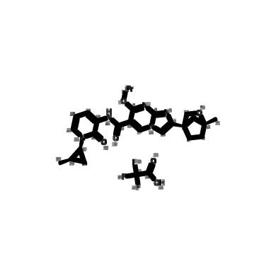 CC(C)Oc1nc2nc([C@]34CC[C@](C)(C3)OC4)cn2cc1C(=O)Nc1cccn([C@H]2C[C@H]2C)c1=O.O=C(O)C(F)(F)F